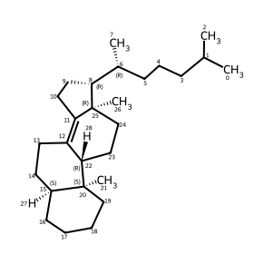 CC(C)CCC[C@@H](C)[C@H]1CCC2=C3CC[C@@H]4CCCC[C@]4(C)[C@H]3CC[C@@]21C